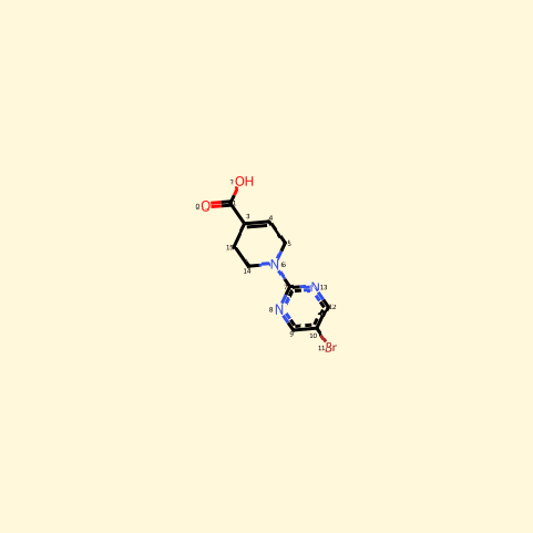 O=C(O)C1=CCN(c2ncc(Br)cn2)CC1